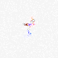 CN(c1ccc2c(c1)C=C(S(=O)(=O)[O-])/C(=N/Nc1ccc3c(S(=O)(=O)[O-])cccc3c1S(=O)(=O)[O-])C2=O)c1nc(N)nc(Cl)n1.[Na+].[Na+].[Na+]